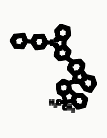 CC1(C)c2ccccc2-c2c(-n3c4ccccc4c4ccc(-c5ccc6c(c5)c5ccccc5n6-c5ccc(-c6ccccc6)cc5)cc43)cccc21